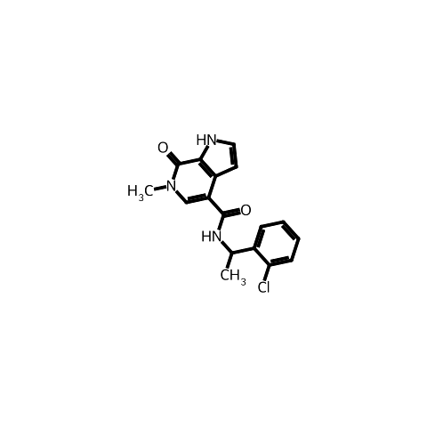 CC(NC(=O)c1cn(C)c(=O)c2[nH]ccc12)c1ccccc1Cl